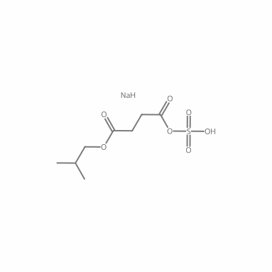 CC(C)COC(=O)CCC(=O)OS(=O)(=O)O.[NaH]